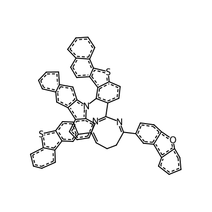 C1=C(c2ccc3sc4ccccc4c3c2)/N=C(c2ccc3sc4c5ccccc5ccc4c3c2-n2c3ccccc3c3cc4ccccc4cc32)\N=C(\c2ccc3oc4ccccc4c3c2)CC\1